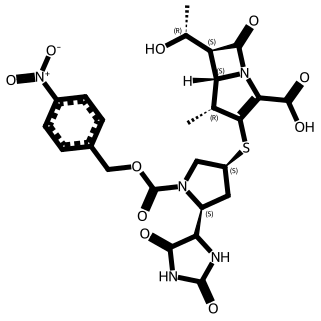 C[C@@H](O)[C@H]1C(=O)N2C(C(=O)O)=C(S[C@H]3C[C@@H](C4NC(=O)NC4=O)N(C(=O)OCc4ccc([N+](=O)[O-])cc4)C3)[C@H](C)[C@H]12